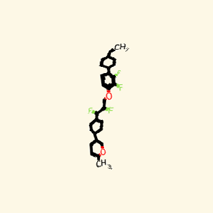 C=CC1CCC(c2ccc(OCC(F)C(F)C3CCC(C4CCC(C)OC4)CC3)c(F)c2F)CC1